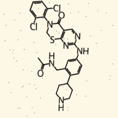 CC(=O)NCc1cc(Nc2ncc3c(n2)SCN(c2c(Cl)cccc2Cl)C3=O)ccc1C1CCNCC1